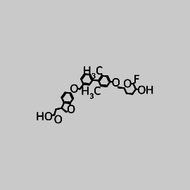 Cc1cc(OCC2CCC(O)C(F)O2)cc(C)c1-c1cccc(COc2ccc3c(c2)OCC3CC(=O)O)c1